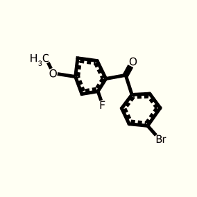 COc1ccc(C(=O)c2ccc(Br)cc2)c(F)c1